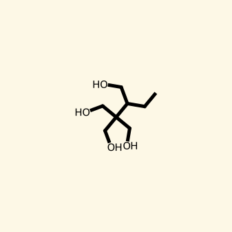 CCC(CO)C(CO)(CO)CO